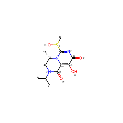 CC(C)N1C[C@H](C)n2c([S+](C)[O-])nc(=O)c(O)c2C1=O